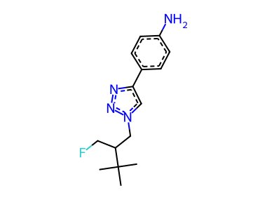 CC(C)(C)C(CF)Cn1cc(-c2ccc(N)cc2)nn1